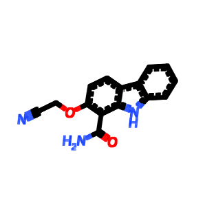 N#CCOc1ccc2c([nH]c3ccccc32)c1C(N)=O